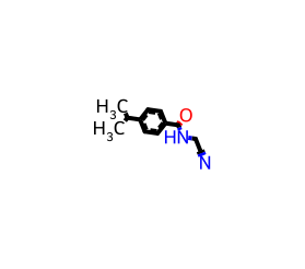 CC(C)c1ccc(C(=O)NCC#N)cc1